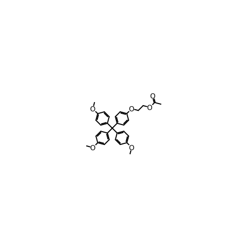 COc1ccc(C(c2ccc(OC)cc2)(c2ccc(OC)cc2)c2ccc(OCCOC(C)=O)cc2)cc1